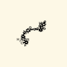 C[C@@H](Oc1cc(-c2cnn(C3CCN(C(=O)CCOCCOc4cccc5c4C(=O)N(C4CCC(=O)NC4=O)C5=O)CC3)c2)cnc1N)c1c(Cl)ccc(F)c1Cl